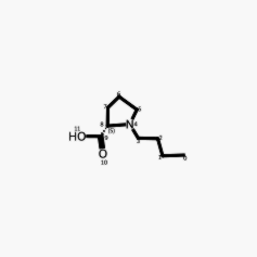 CCCCN1CCC[C@H]1C(=O)O